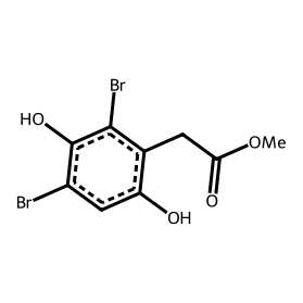 COC(=O)Cc1c(O)cc(Br)c(O)c1Br